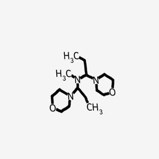 CCC(N1CCOCC1)N(C)C(CC)N1CCOCC1